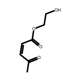 CC(=O)/C=C\C(=O)OCCO